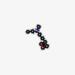 c1ccc(-c2ccc(-c3cc(-c4ccc(-c5ccc(-c6ccc7c(c6)C(c6ccccc6)(c6ccccc6)c6ccccc6-7)cc5)cc4)nc(-c4ccccc4)n3)cc2)cc1